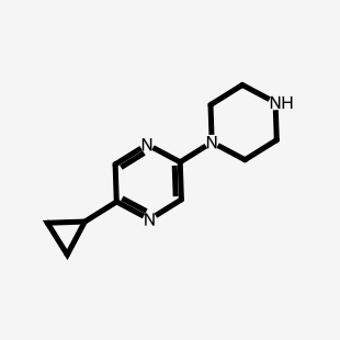 c1nc(N2CCNCC2)cnc1C1CC1